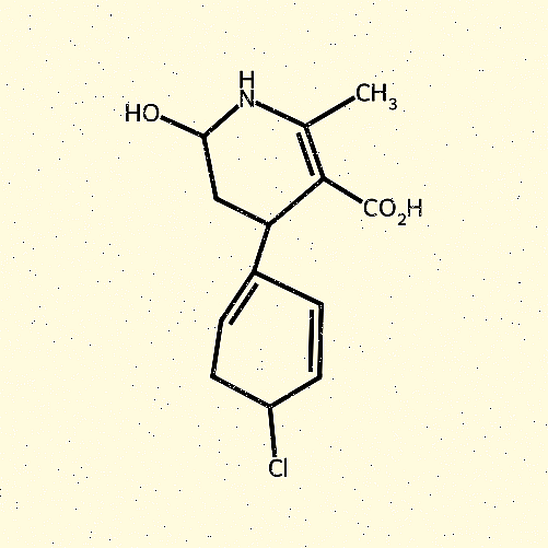 CC1=C(C(=O)O)C(C2=CCC(Cl)C=C2)CC(O)N1